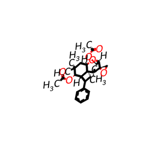 CC(=O)O[C@@H]1C[C@]2(C)[C@@]34CC(c5ccccc5)[C@@H]3[C@H](OC(C)=O)C(C)(C)C[C@H]4O[C@H]1[C@@]21CO1